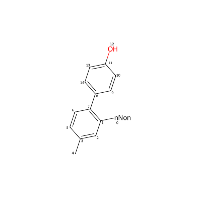 CCCCCCCCCc1cc(C)ccc1-c1ccc(O)cc1